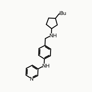 CCC(C)C1CCC(NCc2ccc(Nc3cccnc3)cc2)C1